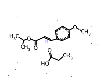 CCC(=O)O.COc1ccc(/C=C/C(=O)OC(C)C)cc1